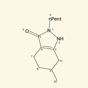 CCCCCn1[nH]c2c(c1=O)CCC(C)C2